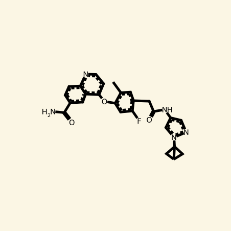 Cc1cc(CC(=O)Nc2cnn(C34CC3C4)c2)c(F)cc1Oc1ccnc2ccc(C(N)=O)cc12